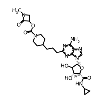 CN1CC(OC(=O)N2CCC(CCCc3nc(N)c4ncn([C@@H]5O[C@H](C(=O)NC6CC6)[C@H](O)C5O)c4n3)CC2)C1=O